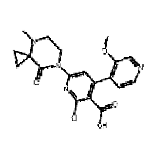 COc1cnccc1-c1cc(N2CCN(C)C3(CC3)C2=O)nc(Cl)c1C(=O)O